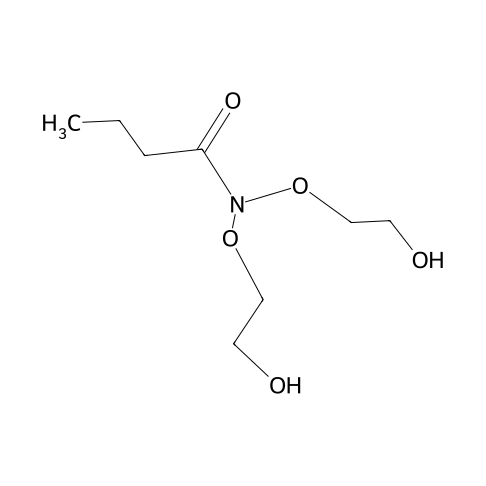 CCCC(=O)N(OCCO)OCCO